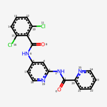 O=C(Nc1cc(NC(=O)c2c(Cl)cccc2Cl)ccn1)c1ccccn1